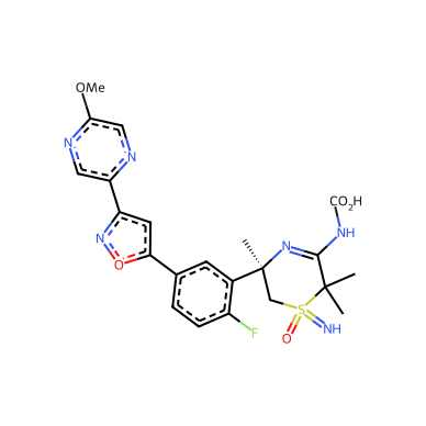 COc1cnc(-c2cc(-c3ccc(F)c([C@]4(C)CS(=N)(=O)C(C)(C)C(NC(=O)O)=N4)c3)on2)cn1